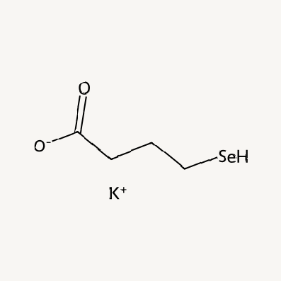 O=C([O-])CCC[SeH].[K+]